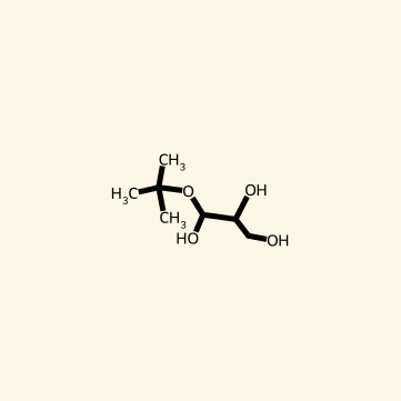 CC(C)(C)OC(O)C(O)CO